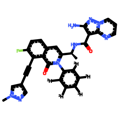 [2H]c1c([2H])c([2H])c(-n2c([C@H](C)NC(=O)c3c(N)nn4cccnc34)cc3ccc(F)c(C#Cc4cnn(C)c4)c3c2=O)c([2H])c1[2H]